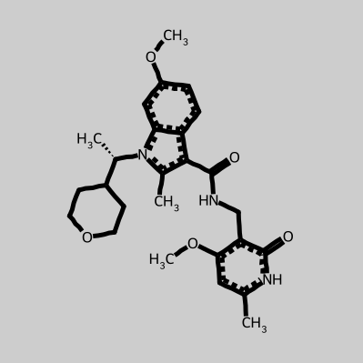 COc1ccc2c(C(=O)NCc3c(OC)cc(C)[nH]c3=O)c(C)n([C@@H](C)C3CCOCC3)c2c1